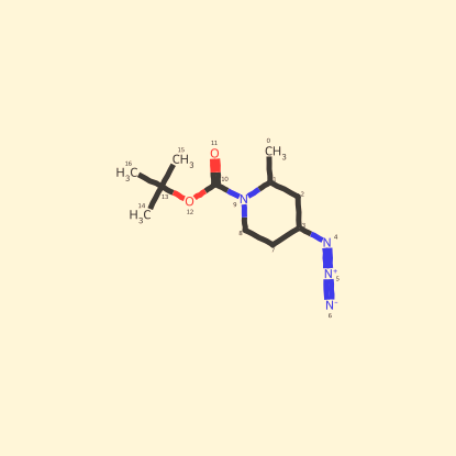 CC1CC(N=[N+]=[N-])CCN1C(=O)OC(C)(C)C